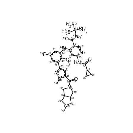 BC(B)(B)NC(=O)c1nnc(NC(=O)C2CC2)cc1Nc1cc(F)cc(-c2cc(C(=O)N3CC4CN(C)CC4C3)n(C)n2)c1OC